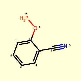 N#Cc1ccccc1OP